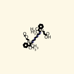 CC1(C)C(/C=C/C=C/C=C/C=C2/N(CCC(=O)O)c3ccccc3C2(C)C)=[N+](CCOC=O)c2ccccc21